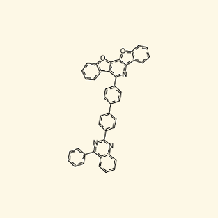 c1ccc(-c2nc(-c3ccc(-c4ccc(-c5nc6c7ccccc7oc6c6oc7ccccc7c56)cc4)cc3)nc3ccccc23)cc1